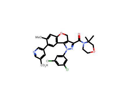 COc1cc2c(cc1-c1cncc(C(=O)O)c1)-c1c(c(C(=O)N3CCOCC3(C)C)nn1-c1cc(Cl)cc(Cl)c1)CO2